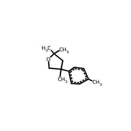 Cc1ccc(C2(C)COC(C)(C)C2)cc1